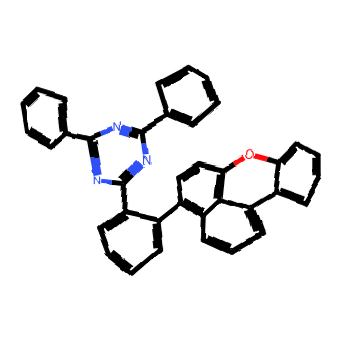 c1ccc(-c2nc(-c3ccccc3)nc(-c3ccccc3-c3ccc4c5c(cccc35)-c3ccccc3O4)n2)cc1